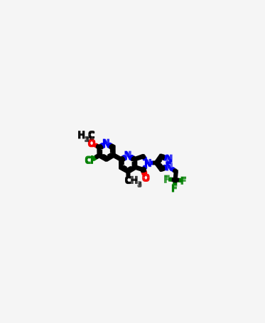 COc1ncc(-c2cc(C)c3c(n2)CN(c2cnn(CC(F)(F)F)c2)C3=O)cc1Cl